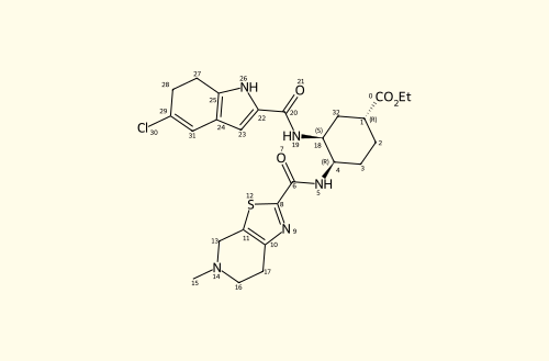 CCOC(=O)[C@@H]1CC[C@@H](NC(=O)c2nc3c(s2)CN(C)CC3)[C@@H](NC(=O)c2cc3c([nH]2)CCC(Cl)=C3)C1